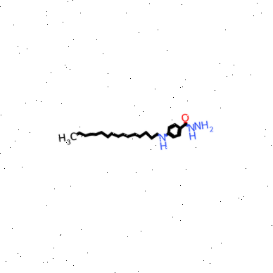 CCCCCCCCCCCCCCCCNc1ccc(C(=O)NN)cc1